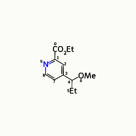 CCOC(=O)c1cc(C(CC)OC)ccn1